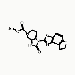 CC(C)(C)OC(=O)N1CCC2C(C1)NC(=O)N2c1nc2c3c(ccc2s1)OCC3